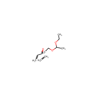 C=C.C=CC=O.CCOC(C)OCC